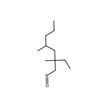 CCCC(C)CC(C)(CC)CN=O